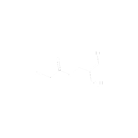 CCC=C(COC(=O)CC(C)=O)C(=O)O